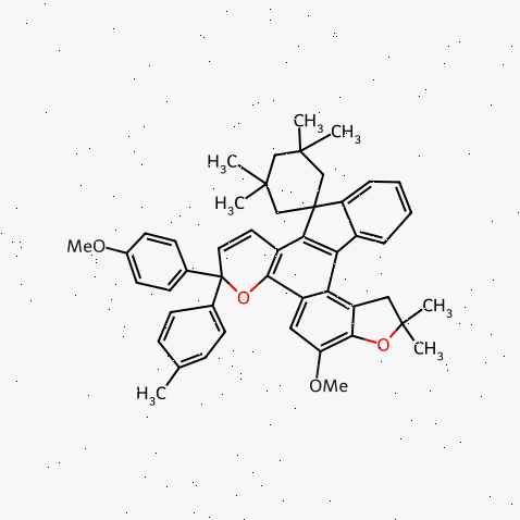 COc1ccc(C2(c3ccc(C)cc3)C=Cc3c4c(c5c6c(c(OC)cc5c3O2)OC(C)(C)C6)-c2ccccc2C42CC(C)(C)CC(C)(C)C2)cc1